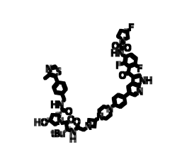 Cc1ncsc1-c1ccc(CNC(=O)[C@H]2C[C@H](O)CN2C(=O)[C@H](NC(=O)CN2CC(N3CCN(c4ccc(-c5cnc6[nH]cc(C(=O)c7c(F)ccc(NS(=O)(=O)N8CC[C@@H](F)C8)c7F)c6c5)cc4)CC3)C2)C(C)(C)C)cc1